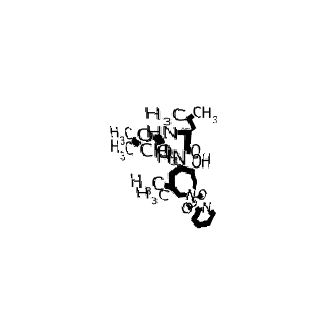 CC(C)C[C@H](NC(=O)OC(C)(C)C)C(=O)NC1CC(C)(C)CN(S(=O)(=O)c2ccccn2)CC1O